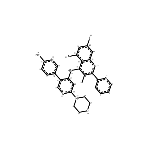 Cc1c(-c2ccccn2)nc2cc(F)cc(F)c2c1Nc1cc(N2CCOCC2)ncc1-c1ccc(C#N)nc1